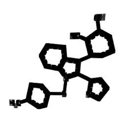 Cc1ccc(Sn2c(-c3cccs3)c(-c3cccc(O)c3C#N)c3ccccc32)cc1